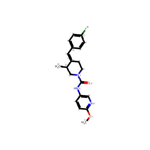 COc1ccc(NC(=O)N2CC/C(=C\c3ccc(F)cc3)C(C)C2)cn1